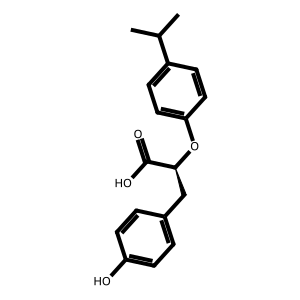 CC(C)c1ccc(O[C@@H](Cc2ccc(O)cc2)C(=O)O)cc1